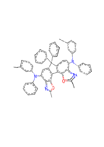 Cc1cccc(N(c2ccccc2)c2cc3c(c4oc(C)nc24)-c2c(cc(N(c4ccccc4)c4cccc(C)c4)c4nc(C)oc24)C3(c2ccccc2)c2ccccc2)c1